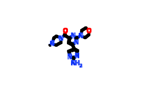 CN1CCN(C(=O)c2cc(-c3cnc(N)nc3)nc(N3CCOCC3)n2)CC1